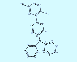 Fc1ccc(F)c(-c2ccc(-n3c4ccccc4c4ccccc43)cc2)c1